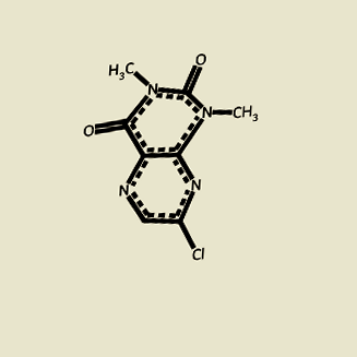 Cn1c(=O)c2ncc(Cl)nc2n(C)c1=O